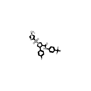 Cn1cnc(S(=O)(=O)N2CC(C(=O)Nc3ccc(C(F)(F)F)cc3)C(c3ccc(F)cc3)C2)c1